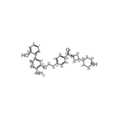 Nc1nnc(-c2ccccc2O)cc1OCCc1ccc(C(=O)N2CC(C3CCNCC3)C2)cc1